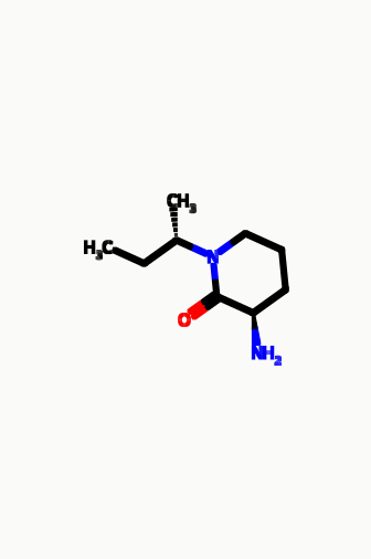 CC[C@H](C)N1CCC[C@@H](N)C1=O